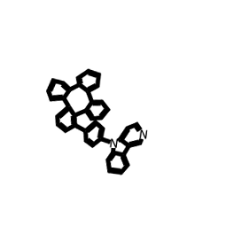 c1ccc2c(c1)-c1ccccc1-c1cccc(-c3ccc(-n4c5ccccc5c5cnccc54)cc3)c1-c1ccccc1-2